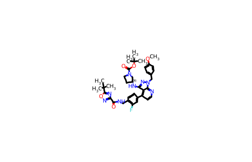 COc1ccc(Cn2nc(N[C@@H]3CCN(C(=O)OC(C)(C)C)C3)c3c(-c4ccc(CNC(=O)c5noc(C(C)(C)C)n5)c(F)c4)ccnc32)cc1